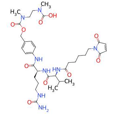 CC(C)[C@H](NC(=O)CCCCCN1C(=O)C=CC1=O)C(=O)N[C@@H](CCCNC(N)=O)C(=O)Nc1ccc(COC(=O)N(C)CCN(C)C(=O)O)cc1